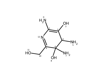 NC1=C(O)C(N)C(N)(O)C(CO)=N1